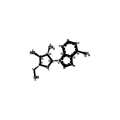 C[C@H]1[C@H](O)[C@@H](CO)O[C@H]1n1cnc2c(N)ncnc21